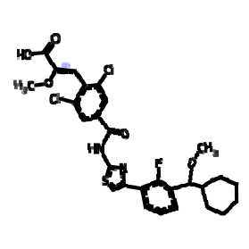 CO/C(=C\c1c(Cl)cc(C(=O)Nc2nc(-c3cccc(C(OC)C4CCCCC4)c3F)cs2)cc1Cl)C(=O)O